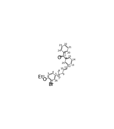 CCOc1ccc(C(C)(C)CC=Cc2cccc(C(=O)c3ccccc3)c2)cc1Br